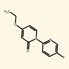 CCOc1ccn(-c2ccc(F)cn2)c(=O)c1